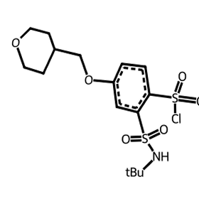 CC(C)(C)NS(=O)(=O)c1cc(OCC2CCOCC2)ccc1S(=O)(=O)Cl